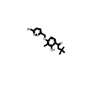 Cc1c(OCc2ccc(Br)nn2)ccc(C(=O)CC(C)(C)C)c1O